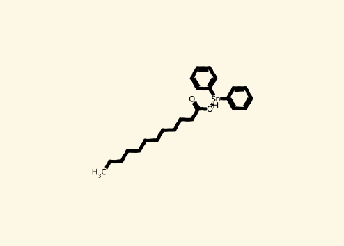 CCCCCCCCCCCC(=O)[O][SnH]([c]1ccccc1)[c]1ccccc1